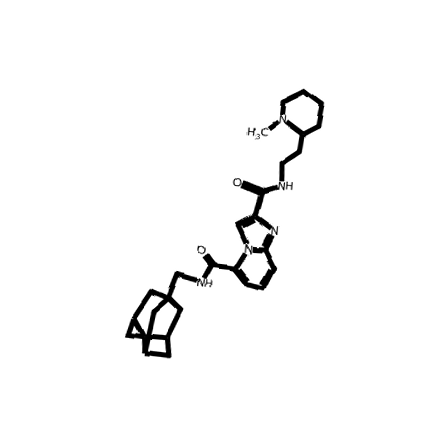 CN1CCCCC1CCNC(=O)c1cn2c(C(=O)NCC34CC5CC(C3)C53CC3C4)cccc2n1